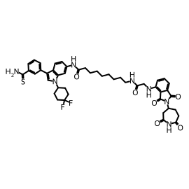 NC(=S)c1cccc(-c2cn(C3CCC(F)(F)CC3)c3cc(NC(=O)CCCCCCCCNC(=O)CNc4cccc5c4C(=O)N(C4CCC(=O)NC(=O)C4)C5=O)ccc23)c1